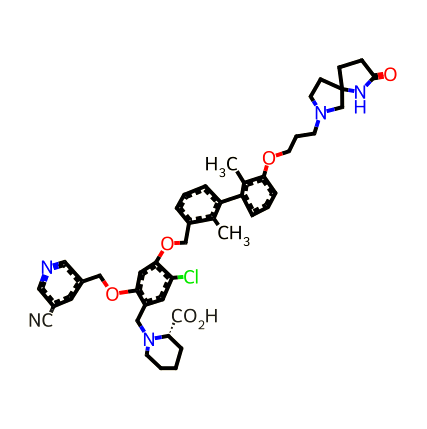 Cc1c(COc2cc(OCc3cncc(C#N)c3)c(CN3CCCC[C@H]3C(=O)O)cc2Cl)cccc1-c1cccc(OCCCN2CCC3(CCC(=O)N3)C2)c1C